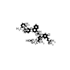 C[C@@H]1CCC[C@H](C)N1c1nnc2ccc(O[C@@H]3CC[C@H](NC(=O)Nc4cc(C(C)(C)C)nn4-c4ccc(Cl)c(CCN(C)C)c4)c4ccccc43)cn12.O=CO